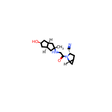 C[C@@]1(NCC(=O)N2[C@H](C#N)CC3C[C@@H]32)C[C@H]2C[C@@H](O)C[C@H]2C1